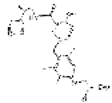 Cc1cc(OCC(=O)O)c(C)c(C)c1Cc1ccc(O)c(C(=O)NC[C@H](C)c2ccccc2)n1